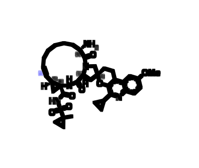 COc1ccc2nc(C3CC3)c3c(c2c1)CC[C@]1(C[C@H]2C(=O)N[C@]4(C(=O)NS(=O)(=O)C5(C)CC5)C[C@H]4/C=C\CCCCC[C@H](N)C(=O)N2C1)O3